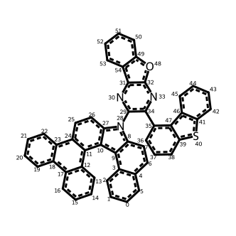 c1ccc2c(c1)ccc1c2c2c3c4ccccc4c4ccccc4c3ccc2n1-c1nc2c(nc1-c1cccc3sc4ccccc4c13)oc1ccccc12